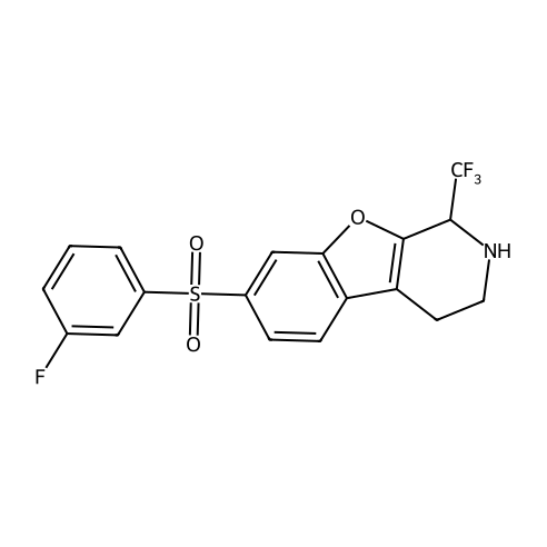 O=S(=O)(c1cccc(F)c1)c1ccc2c3c(oc2c1)C(C(F)(F)F)NCC3